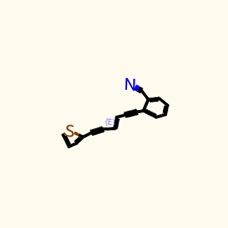 N#Cc1ccccc1C#C/C=C/C#Cc1cccs1